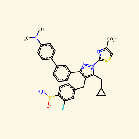 CN(C)c1ccc(-c2cccc(-c3nn(-c4nc(C(=O)O)cs4)c(CC4CC4)c3Cc3ccc([S+](N)[O-])c(F)c3)c2)cc1